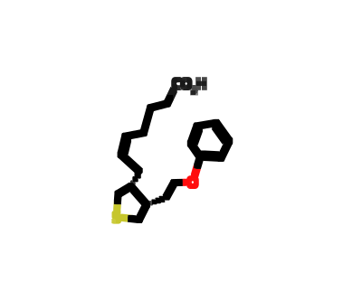 O=C(O)CCC/C=C\C[C@H]1CSC[C@H]1CCOc1ccccc1